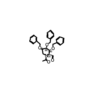 CC(=O)N1C[C@@H](OCc2ccccc2)[C@@H](OCc2ccccc2)[C@H](OCc2ccccc2)[C@H]1C=O